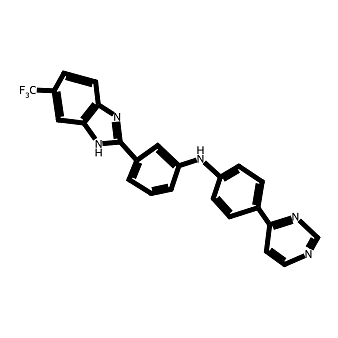 FC(F)(F)c1ccc2nc(-c3cccc(Nc4ccc(-c5ccncn5)cc4)c3)[nH]c2c1